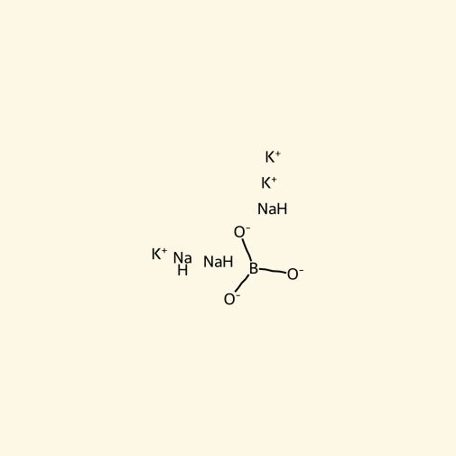 [K+].[K+].[K+].[NaH].[NaH].[NaH].[O-]B([O-])[O-]